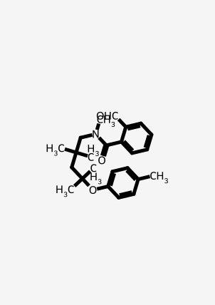 Cc1ccc(OC(C)(C)CC(C)(C)CN(C)C(=O)c2ccccc2C=O)cc1